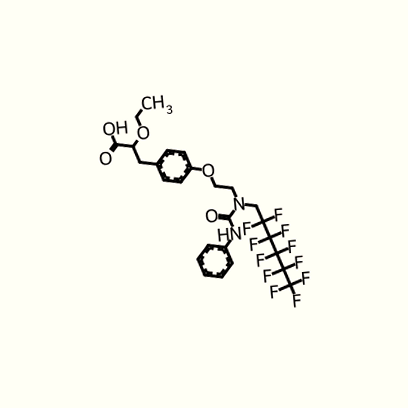 CCOC(Cc1ccc(OCCN(CC(F)(F)C(F)(F)C(F)(F)C(F)(F)C(F)(F)F)C(=O)Nc2ccccc2)cc1)C(=O)O